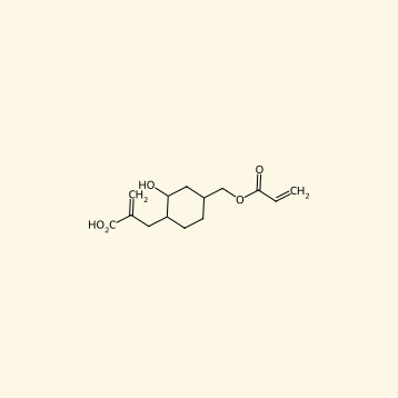 C=CC(=O)OCC1CCC(CC(=C)C(=O)O)C(O)C1